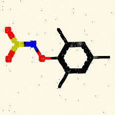 Cc1cc(C)c(ON=S(=O)=O)c(C)c1